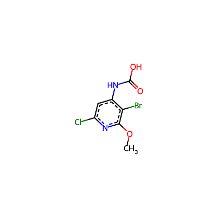 COc1nc(Cl)cc(NC(=O)O)c1Br